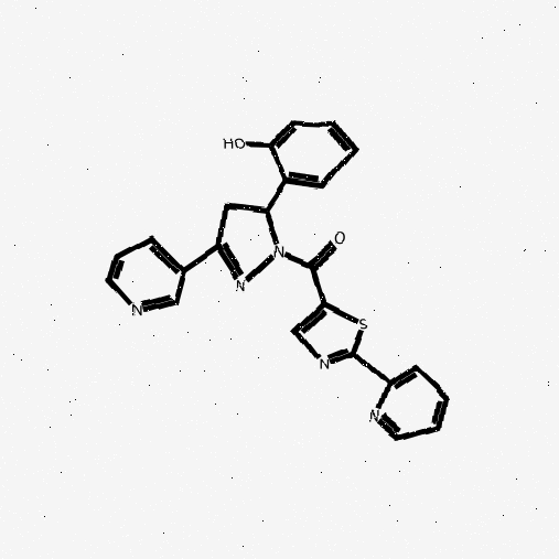 O=C(c1cnc(-c2ccccn2)s1)N1N=C(c2cccnc2)CC1c1ccccc1O